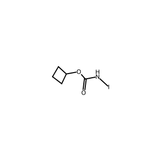 O=C(NI)OC1CCC1